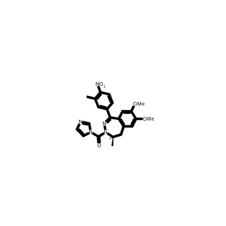 COc1cc2c(cc1OC)C(c1ccc([N+](=O)[O-])c(C)c1)=NN(C(=O)n1ccnc1)[C@H](C)C2